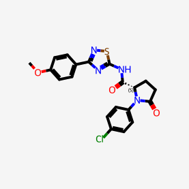 COc1ccc(-c2nsc(NC(=O)[C@@H]3CCC(=O)N3c3ccc(Cl)cc3)n2)cc1